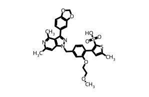 COCCOc1cc(Cn2nc(-c3ccc4c(c3)OCO4)c3c(C)nc(C)cc32)ccc1-c1cc(C)sc1S(=O)(=O)O